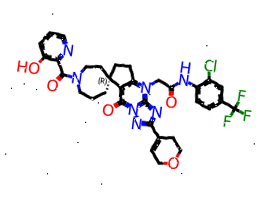 O=C(Cn1c2c(c(=O)n3nc(C4=CCOCC4)nc13)[C@]1(CCCN(C(=O)c3ncccc3O)CC1)CC2)Nc1ccc(C(F)(F)F)cc1Cl